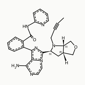 CC#CCN1[C@@H]2COC[C@@H]2C[C@H]1c1nc(-c2ccccc2C(=O)Nc2ccccn2)c2c(N)nccn12